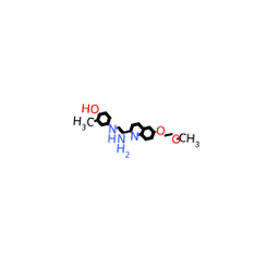 COCCOc1ccc2nc(/C(N)=C/Nc3ccc(O)c(C)c3)ccc2c1